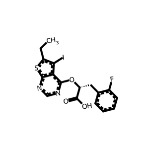 CCc1sc2ncnc(O[C@H](Cc3ccccc3F)C(=O)O)c2c1I